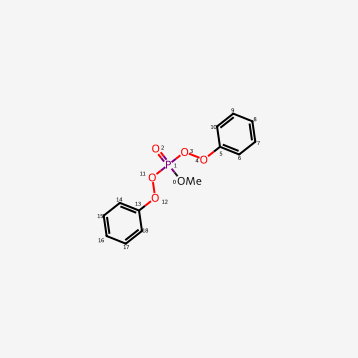 COP(=O)(OOc1ccccc1)OOc1ccccc1